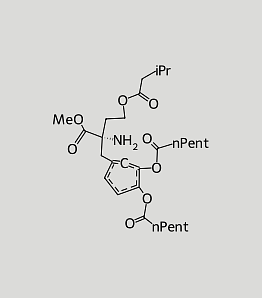 CCCCCC(=O)Oc1ccc(C[C@](N)(CCOC(=O)CC(C)C)C(=O)OC)cc1OC(=O)CCCCC